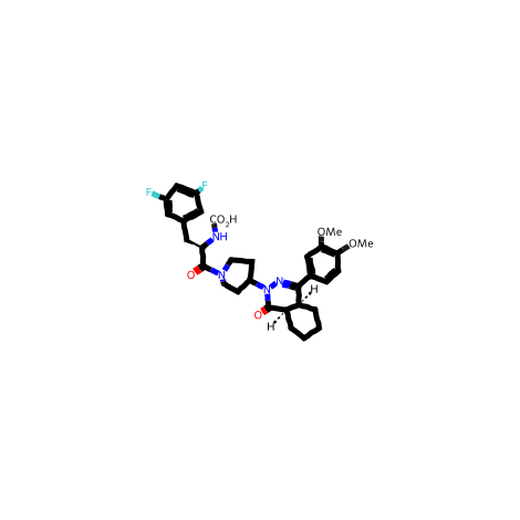 COc1ccc(C2=NN(C3CCN(C(=O)[C@@H](Cc4cc(F)cc(F)c4)NC(=O)O)CC3)C(=O)[C@@H]3CCCC[C@H]23)cc1OC